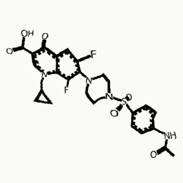 CC(=O)Nc1ccc(S(=O)(=O)N2CCN(c3c(F)cc4c(=O)c(C(=O)O)cn(C5CC5)c4c3F)CC2)cc1